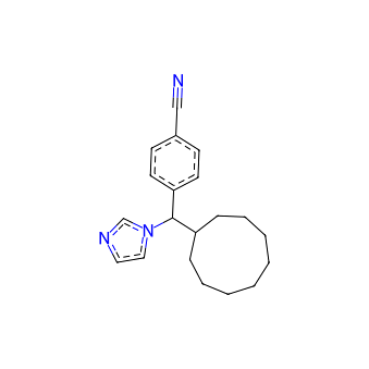 N#Cc1ccc(C(C2CCCCCCCC2)n2ccnc2)cc1